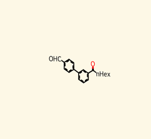 CCCCCCC(=O)c1cccc(-c2ccc(C=O)cc2)c1